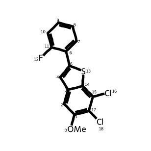 COc1cc2cc(-c3ccccc3F)sc2c(Cl)c1Cl